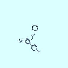 Cc1cn(-c2ccc(F)cc2)c(COCc2ccccc2)n1